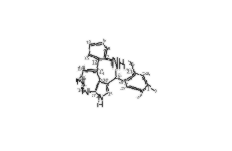 Cc1ccc(C2Nc3ccccc3-c3cnnc4[nH]cc2c34)c(C)c1